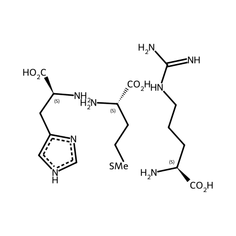 CSCC[C@H](N)C(=O)O.N=C(N)NCCC[C@H](N)C(=O)O.N[C@@H](Cc1c[nH]cn1)C(=O)O